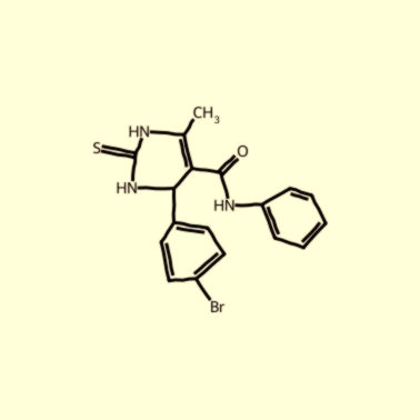 CC1=C(C(=O)Nc2ccccc2)C(c2ccc(Br)cc2)NC(=S)N1